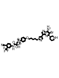 C[C@](O)(CS(=O)(=O)c1ccc(OCCCCCn2cc(-c3cnn4c(N)c(Br)c([C@@H]5CCCNC5)nc34)cn2)cc1)C(=O)Nc1ccc(C#N)c(C(F)(F)F)c1